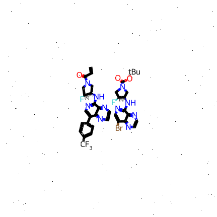 C=CC(=O)N1C[C@H](F)[C@H](Nc2ncc(-c3ccc(C(F)(F)F)cc3)c3nccnc23)C1.CC(C)(C)OC(=O)N1C[C@H](F)[C@H](Nc2ncc(Br)c3nccnc23)C1